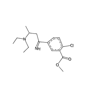 CCN(CC)C(C)CC(=N)c1ccc(Cl)c(C(=O)OC)c1